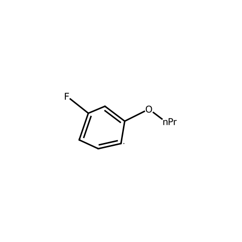 CCCOc1[c]ccc(F)c1